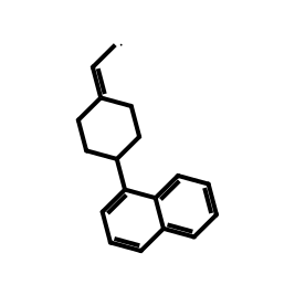 [CH2]C=C1CCC(c2cccc3ccccc23)CC1